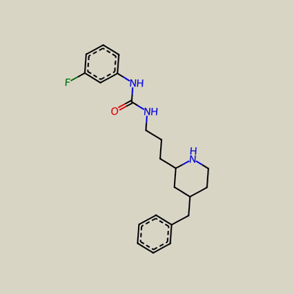 O=C(NCCCC1CC(Cc2ccccc2)CCN1)Nc1cccc(F)c1